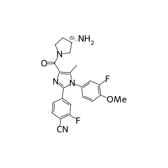 COc1ccc(-n2c(-c3ccc(C#N)c(F)c3)nc(C(=O)N3CC[C@H](N)C3)c2C)cc1F